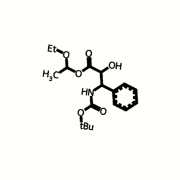 CCOC(C)OC(=O)C(O)C(NC(=O)OC(C)(C)C)c1ccccc1